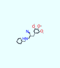 COc1cc(CC(C#N)=CNCc2ccccc2)cc(OC)c1OC